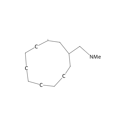 CNCC1C[CH]CCCCCCCC1